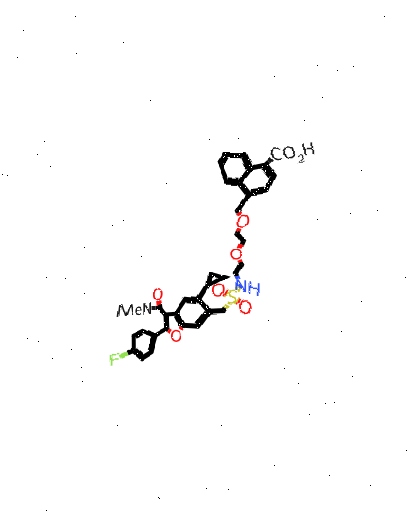 CNC(=O)c1c(-c2ccc(F)cc2)oc2cc(CS(=O)(=O)NCCOCCOCc3ccc(C(=O)O)c4ccccc34)c(C3CC3)cc12